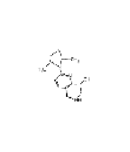 CC1CNCc2ccc(N3C(C)CCC3C)nc21